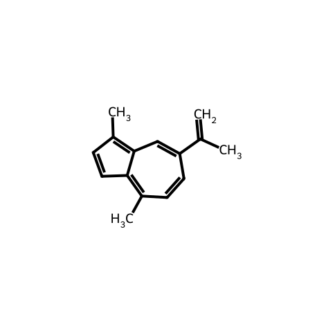 C=C(C)c1ccc(C)c2ccc(C)c-2c1